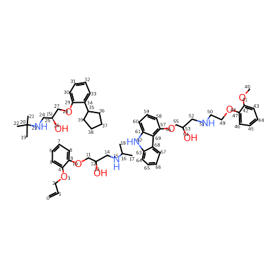 C=CCOc1ccccc1OCC(O)CNC(C)C.CC(C)(C)NC[C@H](O)COc1ccccc1C1CCCC1.COc1ccccc1OCCNCC(O)COc1cccc2[nH]c3ccccc3c12